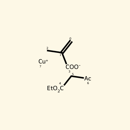 C=C(C)C(=O)[O-].CCOC(=O)CC(C)=O.[Cu+]